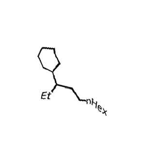 [CH2]CC(CCCCCCCC)C1CCCCC1